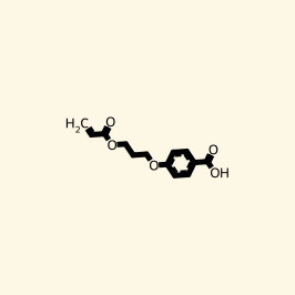 C=CC(=O)OCCCOc1ccc(C(=O)O)cc1